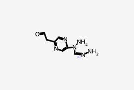 N/N=C\N(N)c1cnc(CC=O)cn1